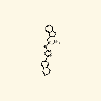 NC[C@@H](Cc1csc2ccccc12)Nc1nnc(-c2ccc3cnccc3c2)s1